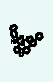 c1ccc(C2=NC(c3cccc4oc5ccc(-c6ccc(-c7ccccc7)cc6)cc5c34)NC(c3ccc4ccccc4c3)=N2)cc1